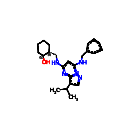 CC(C)c1cnn2c(NCc3ccccc3)cc(NC[C@H]3CCCC[C@@H]3O)nc12